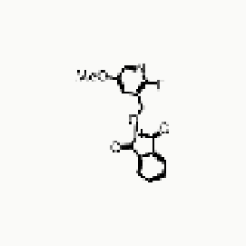 COc1cnc(F)c(CON2C(=O)c3ccccc3C2=O)c1